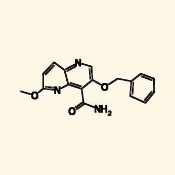 COc1ccc2ncc(OCc3ccccc3)c(C(N)=O)c2n1